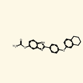 NC(=O)Oc1ccc2[nH]c(-c3ccc(Oc4ccc5c(c4)CCCC5)cc3)nc2c1